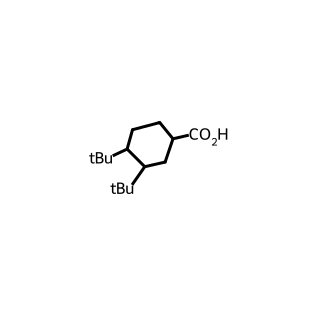 CC(C)(C)C1CCC(C(=O)O)CC1C(C)(C)C